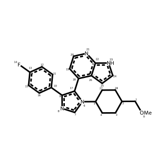 COCC1CCC(n2cnc(-c3ccc(F)cc3)c2-c2ccnc3[nH]ccc23)CC1